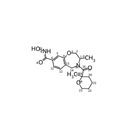 CC1COc2cc(C(=O)NO)ccc2CN1C(=O)C1(C)CCCCO1